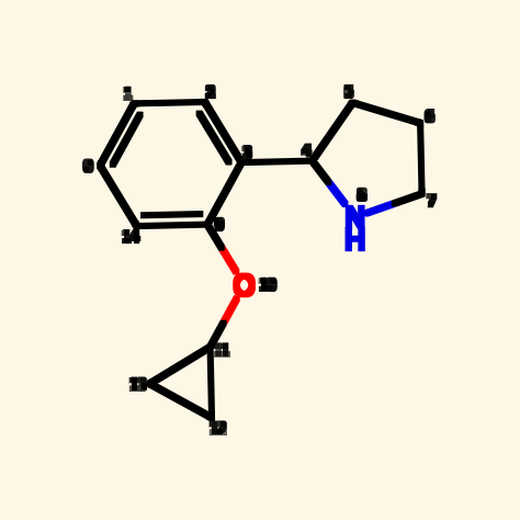 c1ccc(C2CCCN2)c(OC2CC2)c1